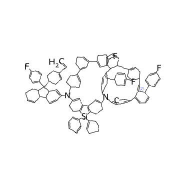 C=CC1=CCC(C2(c3ccc(F)cc3)C3C=C(N(C4=CC5=C(CC4)[Si](C4=CCCCC4)(c4ccccc4)C4=C5C=C(N5C6=CC=C(CC6)C6=CC=CC(c7ccc(F)cc7)/C6=C/C6CC=C(CC6)C6C=CC=CC6C6=C(C7C=CC(F)=CC7)CC5C=C6)CC4)C4CC=C(C5=CC(C6=CCC(F)CC6)=CCC5)CC4)C=CC3C3C=CCCC32)CC1